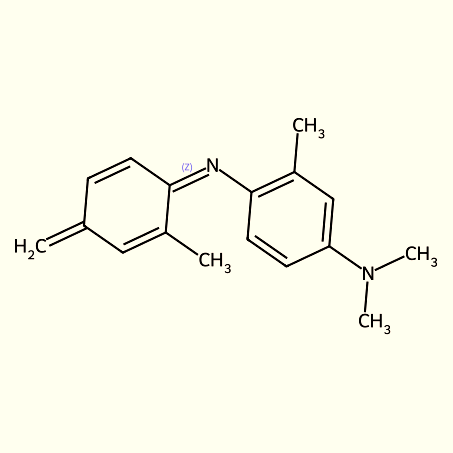 C=C1C=C/C(=N/c2ccc(N(C)C)cc2C)C(C)=C1